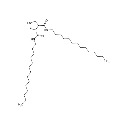 CCCCCCCCCCCCCCNC(=O)[C@@H]1CNC[C@H]1C(=O)NCCCCCCCCCCCCCC